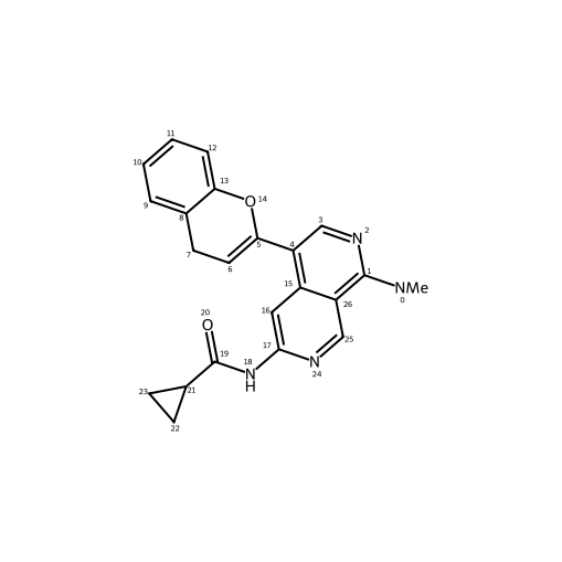 CNc1ncc(C2=CCc3ccccc3O2)c2cc(NC(=O)C3CC3)ncc12